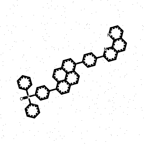 O=P(c1ccccc1)(c1ccccc1)c1ccc(-c2ccc3ccc4c(-c5ccc(-c6ccc7ccc8cccnc8c7n6)cc5)ccc5ccc2c3c54)cc1